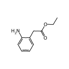 CCOC(=O)Cc1ccccc1N